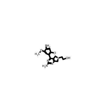 Bc1cc(Cl)c(-c2nc(N)nc3c2CN(CCO)C3)cc1OC